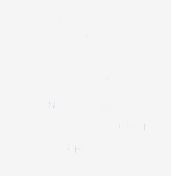 Cc1nc2c(cc1C(=O)O)CCCC2